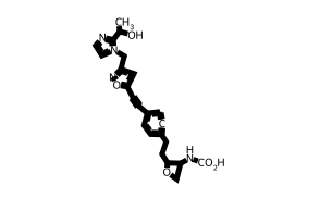 CC(O)c1nccn1Cc1cc(C#Cc2ccc(CCC3OCC3NC(=O)O)cc2)on1